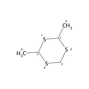 CC1SCSC(C)S1